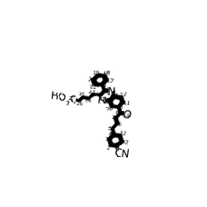 N#Cc1ccc(CCCC(=O)c2ccc3nc(-c4ccccc4)c(CCCCC(=O)O)nc3c2)cc1